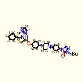 CCC(C)n1ncn(-c2ccc(N3CCN(c4ccc(OC[C@H]5CS[C@](Cn6nccn6)(c6ccccc6)N5)cc4)CC3)cc2)c1=O